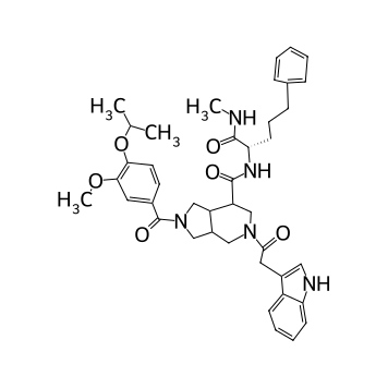 CNC(=O)[C@H](CCCc1ccccc1)NC(=O)C1CN(C(=O)Cc2c[nH]c3ccccc23)CC2CN(C(=O)c3ccc(OC(C)C)c(OC)c3)CC21